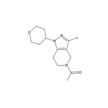 CC(=O)N1CCc2c(c(I)nn2C2CCOCC2)C1